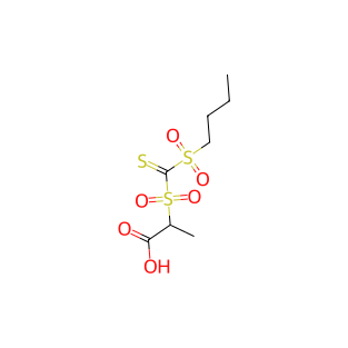 CCCCS(=O)(=O)C(=S)S(=O)(=O)C(C)C(=O)O